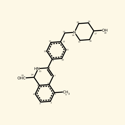 Cc1cccc2c1C=C(c1ccc(CN3CCC(O)CC3)cc1)NC2C=O